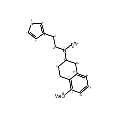 CCCN(CCc1ccsc1)C1CCc2c(cccc2OC)C1